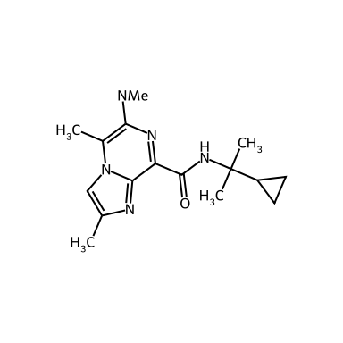 CNc1nc(C(=O)NC(C)(C)C2CC2)c2nc(C)cn2c1C